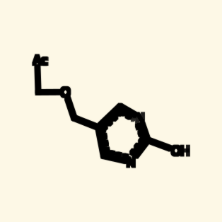 CC(=O)COCc1cnc(O)nc1